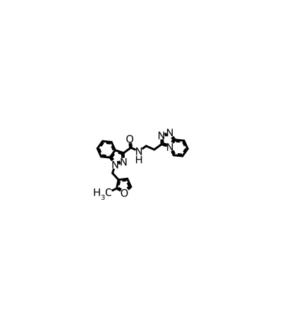 Cc1occc1Cn1nc(C(=O)NCCc2nnc3ccccn23)c2ccccc21